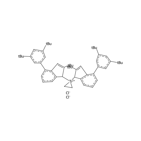 CC(C)(C)C1=Cc2c(-c3cc(C(C)(C)C)cc(C(C)(C)C)c3)cccc2[CH]1[Ti+2]1([CH]2C(C(C)(C)C)=Cc3c(-c4cc(C(C)(C)C)cc(C(C)(C)C)c4)cccc32)[CH2][CH2]1.[Cl-].[Cl-]